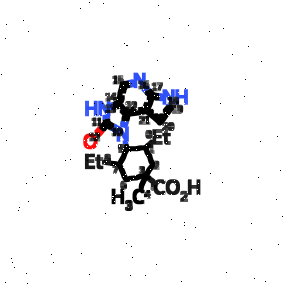 CCC1CC(C)(C(=O)O)CC(CC)C1n1c(=O)[nH]c2cnc3[nH]ccc3c21